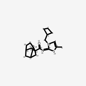 Cc1cn(CC2CCC2)c(=NC(=O)C23CC4CC(CC(C4)O2)C3)s1